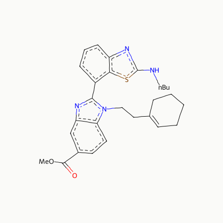 CCCCNc1nc2cccc(-c3nc4cc(C(=O)OC)ccc4n3CCC3=CCCCC3)c2s1